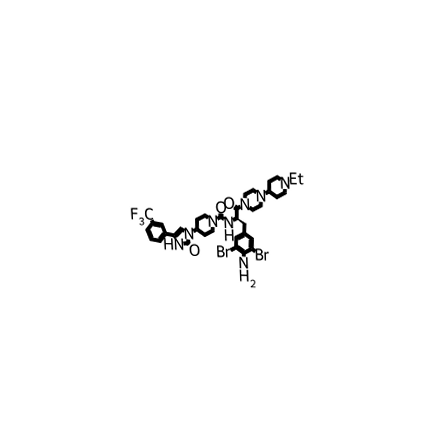 CCN1CCC(N2CCN(C(=O)[C@@H](Cc3cc(Br)c(N)c(Br)c3)NC(=O)N3CCC(n4cc(-c5cccc(C(F)(F)F)c5)[nH]c4=O)CC3)CC2)CC1